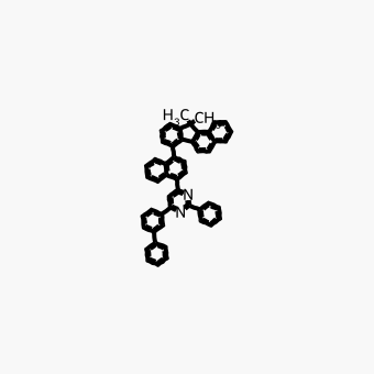 CC1(C)c2cccc(-c3ccc(-c4cc(-c5cccc(-c6ccccc6)c5)nc(-c5ccccc5)n4)c4ccccc34)c2-c2ccc3ccccc3c21